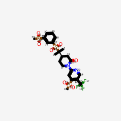 CC(C)([C@@H]1CCN(c2cc(S(C)(=O)=O)c(C(F)(F)F)cn2)C(=O)C1)S(=O)(=O)c1cccc(S(C)(=O)=O)c1